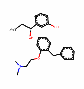 CN(C)CCOc1ccccc1Cc1ccccc1.CNC[C@H](O)c1cccc(O)c1